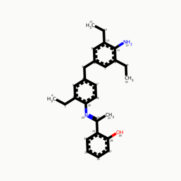 CCc1cc(Cc2cc(CC)c(N)c(CC)c2)ccc1/N=C(\C)c1ccccc1O